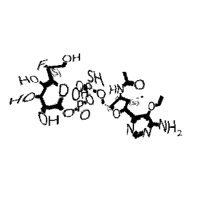 C=COc1c(N)ncnc1C1O[C@H](COP(=O)(S)OP(=O)(O)OC2OC([C@@H](F)CO)C(O)C(O)C2O)[C@@H](NC(C)=O)[C@@H]1C